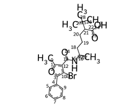 Cc1oc(-c2ccccc2)c(Br)c1C(=O)N[C@H](C)CCCC(C(=O)O)C(C)(C)C